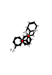 O=C(c1cccc(C(F)(F)F)c1)N1CN2CC=CC(O1)C2c1ccccc1